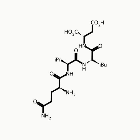 CC[C@H](C)[C@H](NC(=O)[C@@H](NC(=O)[C@@H](N)CCC(N)=O)C(C)C)C(=O)N[C@@H](CC(=O)O)C(=O)O